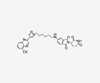 N#Cc1cccc2nc(-c3cnn(CCCCCCNc4ccc5c(c4)C(=O)N(C4CCC(=O)NC4=O)C5=O)c3)cnc12